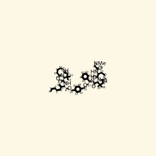 C=C(/C=C\C=C/C)[C@@H](COCc1ccc(COC[C@@H](NC(=O)C2N3C(=O)[C@@H](NC(=O)CNC)CCS[C@H]3CC2(C)C)c2ccccc2)cc1)NC(=O)[C@H]1N2C(=O)CCCS[C@H]2CC1(C)C